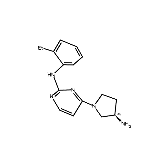 CCc1ccccc1Nc1nccc(N2CC[C@@H](N)C2)n1